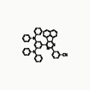 N#Cc1cccc(-c2nc(-c3cc(N(c4ccccc4)c4ccccc4)cc(N(c4ccccc4)c4ccccc4)c3)c3c(n2)-c2cccc4cccc-3c24)c1